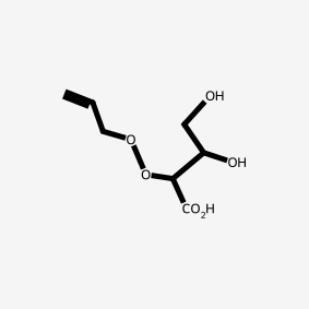 C=CCOOC(C(=O)O)C(O)CO